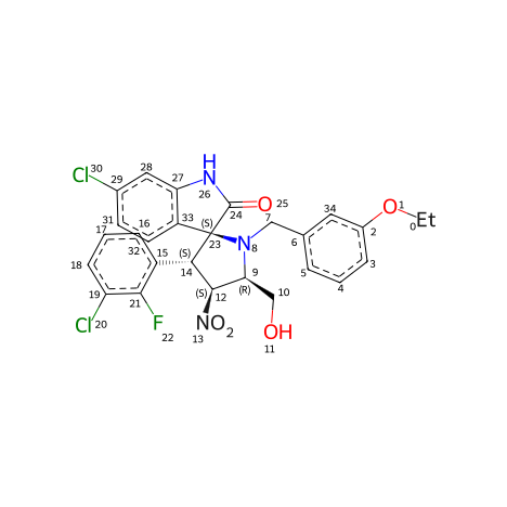 CCOc1cccc(CN2[C@@H](CO)[C@@H]([N+](=O)[O-])[C@H](c3cccc(Cl)c3F)[C@]23C(=O)Nc2cc(Cl)ccc23)c1